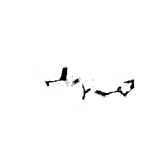 C[C@H](N)C(=O)NNC(=O)NCc1ccco1